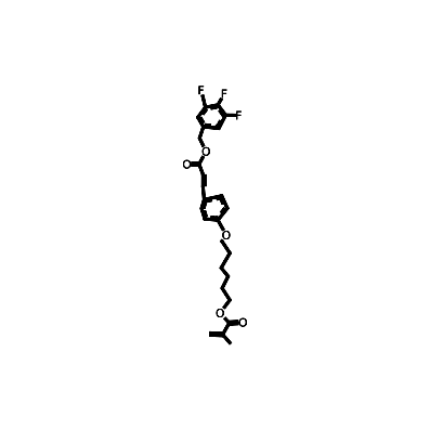 C=C(C)C(=O)OCCCCCCOc1ccc(C=CC(=O)OCc2cc(F)c(F)c(F)c2)cc1